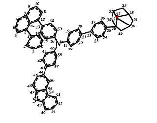 c1ccc(-c2cccc3cccc(-c4ccc(N(c5ccc(-c6ccc(C78CC9CC(CC(C9)C7)C8)cc6)cc5)c5ccc(-c6ccc7sc8ccccc8c7c6)cc5)cc4)c23)cc1